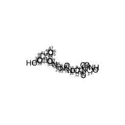 O=C1CCC(N2C(=O)c3cc4c(cc3C2=O)CN(CC(=O)N2CCC3(C2)CN(c2ccc([C@@H]5c6ccc(O)cc6CC[C@@H]5c5ccccc5)cc2)C3)C4)C(=O)N1